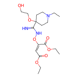 CCOC(=O)C=C(ONC(=N)C1(OCCO)CCN(CC)CC1)C(=O)OCC